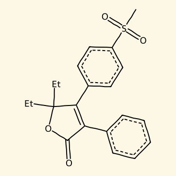 CCC1(CC)OC(=O)C(c2ccccc2)=C1c1ccc(S(C)(=O)=O)cc1